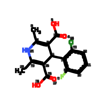 CC1=C(C(=O)O)C(c2c(F)cccc2Cl)C(C(=O)O)=C(C)N1